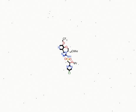 COC[C@H]1COc2c(OCC(F)(F)F)cncc2-c2nnc(NS(=O)(=O)[C@@H](C)[C@@H](OC(C)C)c3ncc(Cl)cn3)n21